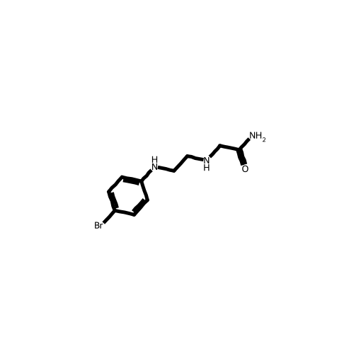 NC(=O)CNCCNc1ccc(Br)cc1